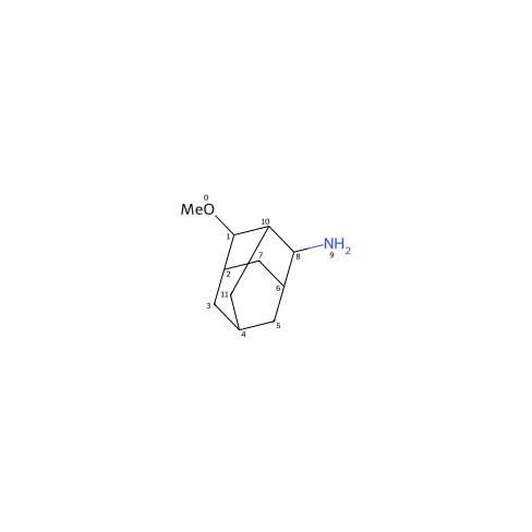 COC1C2CC3CC(C2)C(N)C1C3